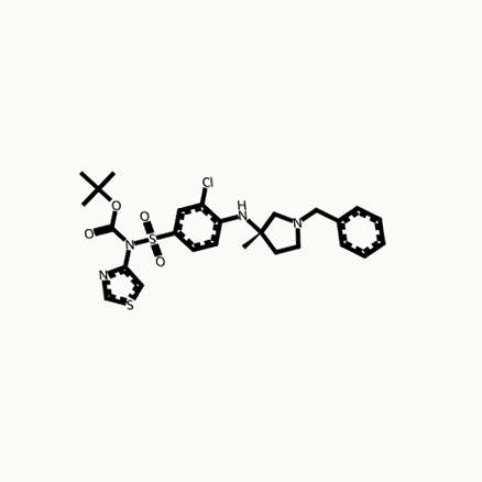 CC(C)(C)OC(=O)N(c1cscn1)S(=O)(=O)c1ccc(N[C@@]2(C)CCN(Cc3ccccc3)C2)c(Cl)c1